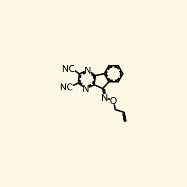 C=CCO/N=C1\c2ccccc2-c2nc(C#N)c(C#N)nc21